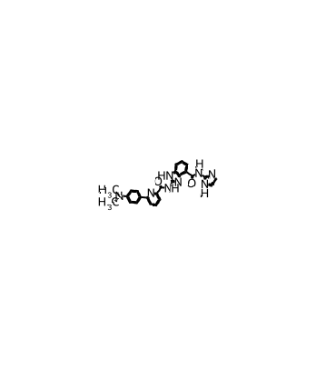 CN(C)c1ccc(-c2cccc(C(=O)Nc3nc4c(C(=O)Nc5ncc[nH]5)cccc4[nH]3)n2)cc1